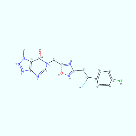 Cn1nnc2ncn(Cc3nc(CC(F)c4ccc(Cl)cc4)no3)c(=O)c21